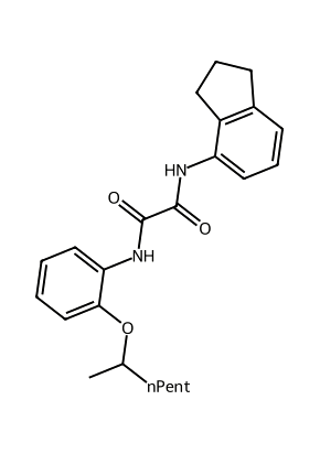 CCCCCC(C)Oc1ccccc1NC(=O)C(=O)Nc1cccc2c1CCC2